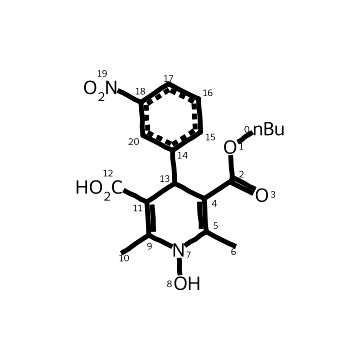 CCCCOC(=O)C1=C(C)N(O)C(C)=C(C(=O)O)C1c1cccc([N+](=O)[O-])c1